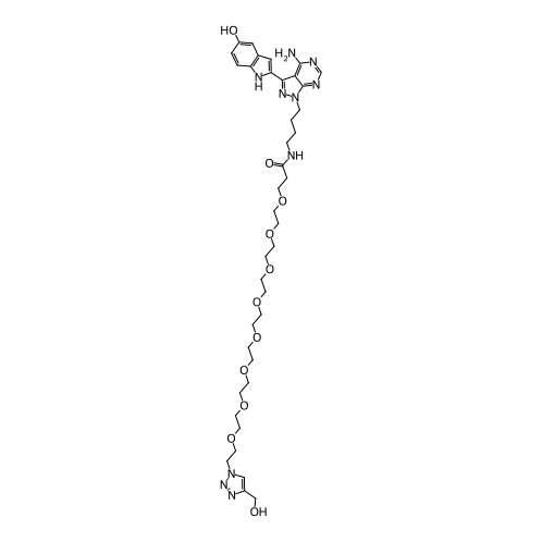 Nc1ncnc2c1c(-c1cc3cc(O)ccc3[nH]1)nn2CCCCNC(=O)CCOCCOCCOCCOCCOCCOCCOCCOCCn1cc(CO)nn1